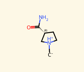 [CH2-][NH+]1CC[C@@H](C(N)=O)C1